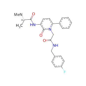 CN[C@@H](C)C(=O)Nc1ccc(-c2ccccc2)n(CC(=O)NCc2ccc(F)cc2)c1=O